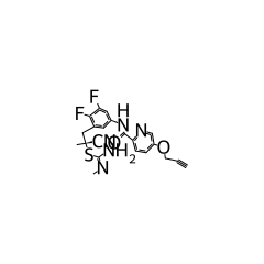 C#CCOc1ccc(C(=O)Nc2cc(F)c(F)c(C[C@](C)(C#N)S/C(N)=N\C)c2)nc1